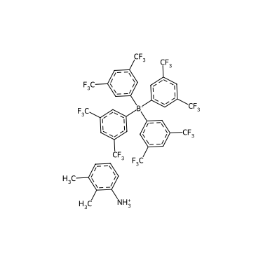 Cc1cccc([NH3+])c1C.FC(F)(F)c1cc([B-](c2cc(C(F)(F)F)cc(C(F)(F)F)c2)(c2cc(C(F)(F)F)cc(C(F)(F)F)c2)c2cc(C(F)(F)F)cc(C(F)(F)F)c2)cc(C(F)(F)F)c1